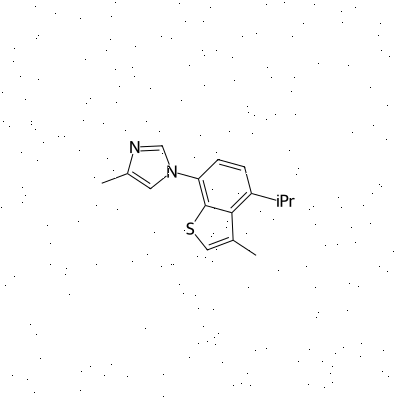 Cc1cn(-c2ccc(C(C)C)c3c(C)csc23)cn1